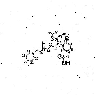 O=C(O)Cc1ccc2c(c1)C(=CCCNCCc1ccccc1)c1sccc1CO2